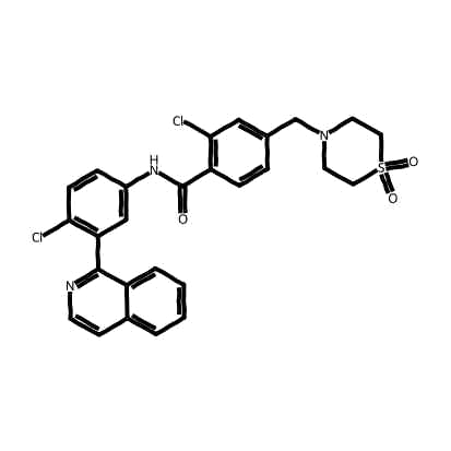 O=C(Nc1ccc(Cl)c(-c2nccc3ccccc23)c1)c1ccc(CN2CCS(=O)(=O)CC2)cc1Cl